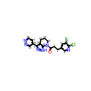 O=C(CCc1cnc(Cl)c(F)c1)N1CCCc2c(-c3ccnnc3)n[nH]c21